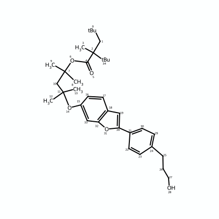 CC(C)(C)CC(C)(C(=O)OC(C)(C)CC(C)(C)Oc1ccc2cc(-c3ccc(CCCO)cc3)oc2c1)C(C)(C)C